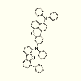 c1ccc(-c2cccc3c2oc2c(N(c4ccccc4)c4ccc5c(c4)Oc4cccc6c(N(c7ccccc7)c7ccccc7)ccc-5c46)cccc23)cc1